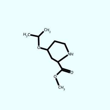 COC(=O)C1CC(OC(C)C)CCN1